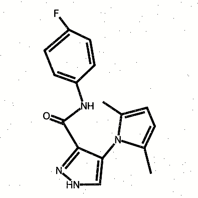 Cc1ccc(C)n1-c1c[nH]nc1C(=O)Nc1ccc(F)cc1